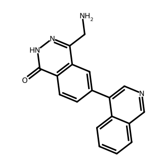 NCc1n[nH]c(=O)c2ccc(-c3cncc4ccccc34)cc12